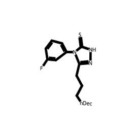 CCCCCCCCCCCCCc1n[nH]c(=S)n1-c1cccc(F)c1